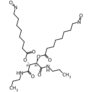 CCCNC(=O)[C@H](OC(=O)CCCCCCCN=O)[C@@H](OC(=O)CCCCCCCN=O)C(=O)NCCC